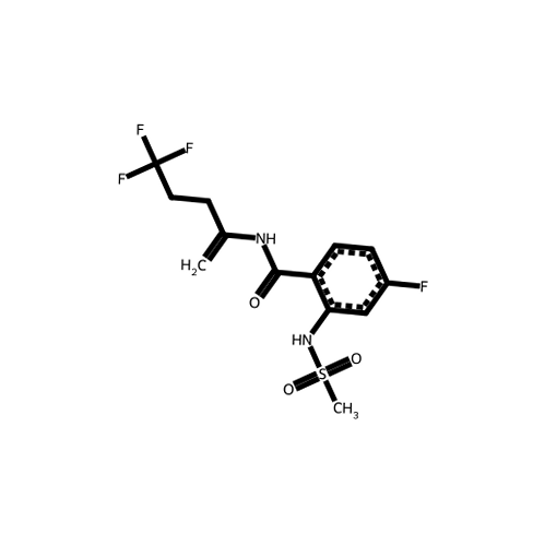 C=C(CCC(F)(F)F)NC(=O)c1ccc(F)cc1NS(C)(=O)=O